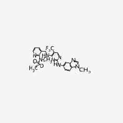 CN(c1ncccc1CNc1nc(Nc2ccc3c(c2)ncn3C)ncc1C(F)(F)F)S(C)(=O)=O